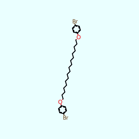 Brc1ccc(OCCCCCCCCCCCCCCCCCCOc2ccc(Br)cc2)cc1